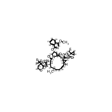 COc1cnc(O[C@@H]2C[C@H]3C(=O)N[C@]4(C(=O)NS(=O)(=O)C5(CF)CC5)C[C@H]4/C=C\CC[C@H](C)C[C@@H](C)[C@H](NC(=O)OC4(C(F)(F)F)CCOCC4)C(=O)N3C2)c2ccccc12